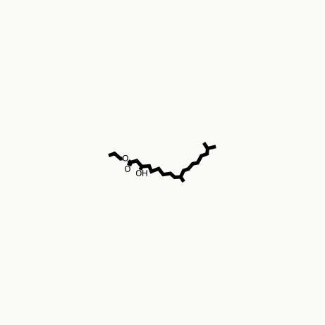 CCCOC(=O)CC(O)CCCCCCC(C)CCCCCCC(C)C